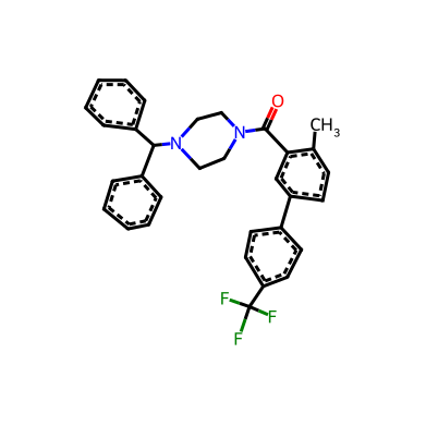 Cc1ccc(-c2ccc(C(F)(F)F)cc2)cc1C(=O)N1CCN(C(c2ccccc2)c2ccccc2)CC1